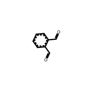 O=Cc1c[c]ccc1C=O